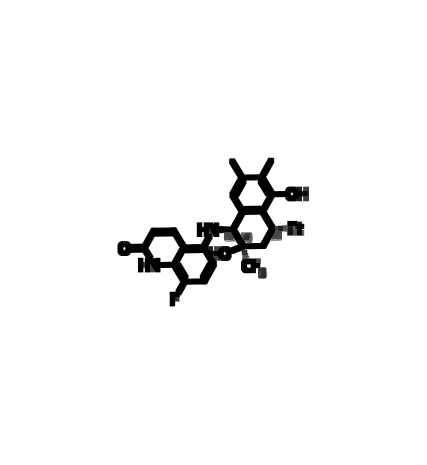 CC[C@@H]1C[C@](O)(C(F)(F)F)[C@@H](Nc2ccc(F)c3[nH]c(=O)ccc23)c2cc(C)c(C)c(O)c21